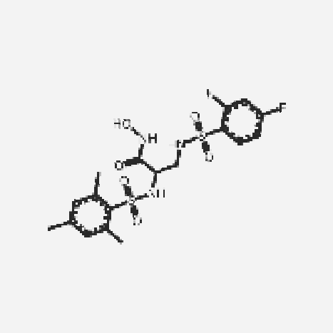 Cc1cc(C)c(S(=O)(=O)NC(CNS(=O)(=O)c2ccc(F)cc2F)C(=O)NO)c(C)c1